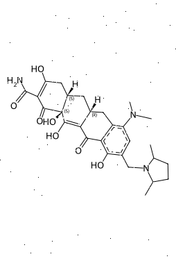 CC1CCC(C)N1Cc1cc(N(C)C)c2c(c1O)C(=O)C1=C(O)[C@]3(O)C(=O)C(C(N)=O)=C(O)C[C@@H]3C[C@@H]1C2